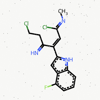 C/N=C(Cl)/C=C(\C(=N)CCCl)c1cc2c(F)cccc2[nH]1